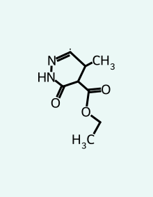 CCOC(=O)C1C(=O)NN=[C]C1C